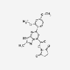 COc1ccc(-c2cc(C(=O)ON3C(=O)CCC3=O)c3nc(C)[nH]c3n2)c(OC)c1